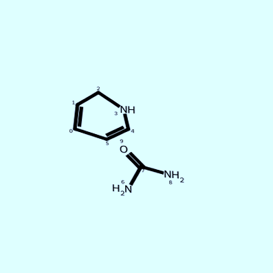 C1=CCNC=C1.NC(N)=O